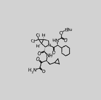 CC(C)(C)OC(=O)N[C@H](C(=O)N1C[C@H]2[C@@H]([C@H]1C(=O)N[C@@H](CC1CC1)C(=O)C(N)=O)C2(Cl)Cl)C1CCCCC1